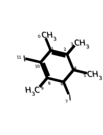 CC1=C(C)C(C)C(I)C(C)=C1I